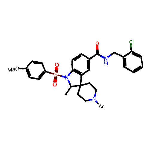 COc1ccc(S(=O)(=O)N2c3ccc(C(=O)NCc4ccccc4Cl)cc3C3(CCN(C(C)=O)CC3)C2C)cc1